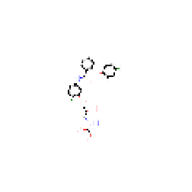 Cc1cc(F)ccc1Oc1cc(C(F)(F)F)ccc1C(=O)Nc1ccc(F)c(OCC(O)CNC(=O)CO)c1